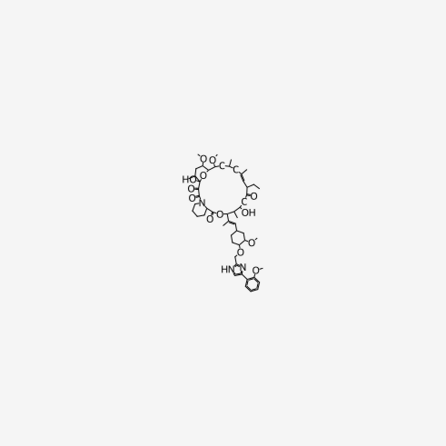 CCC1/C=C(\C)CC(C)CC(OC)C2OC(O)(C(=O)C(=O)N3CCCCC3C(=O)OC(C(C)=CC3CCC(OCc4nc(-c5ccccc5OC)c[nH]4)C(OC)C3)C(C)C(O)CC1=O)C(C)CC2OC